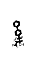 CC(O)(C(F)C(F)F)C(F)(F)c1ccc(-c2ccccc2)cc1